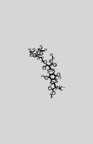 [C-]#[N+]C(C(=O)OCC)=C1Sc2c(OC)c3c(c(OC)c2S1)SC(=C(C(=O)OCC)C(=O)OCCC[Si](C)(O[Si](C)(C)C)O[Si](C)(C)C)S3